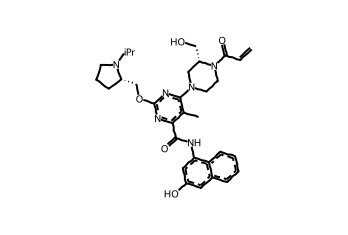 C=CC(=O)N1CCN(c2nc(OC[C@@H]3CCCN3C(C)C)nc(C(=O)Nc3cc(O)cc4ccccc34)c2C)C[C@@H]1CO